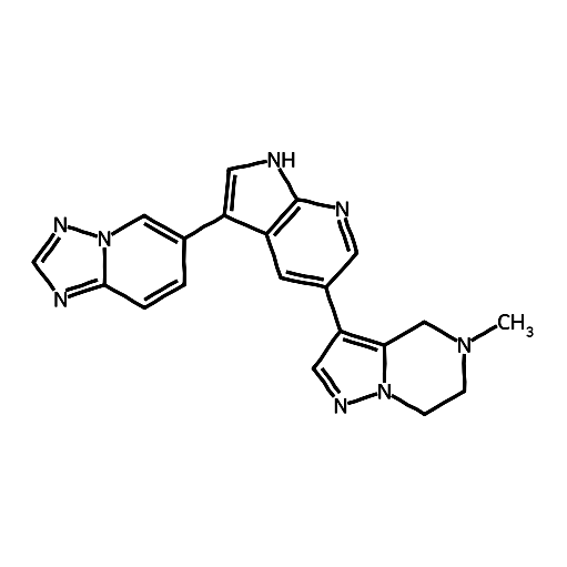 CN1CCn2ncc(-c3cnc4[nH]cc(-c5ccc6ncnn6c5)c4c3)c2C1